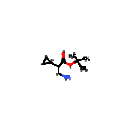 CC(C)(C)OC(=O)C(CN)C1CC1